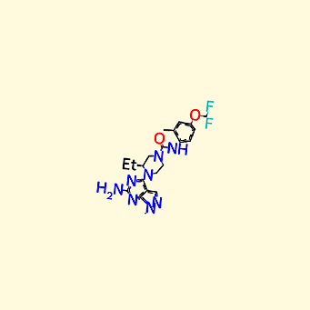 CC[C@H]1CN(C(=O)Nc2ccc(OC(F)F)cc2C)CCN1c1nc(N)nc2c1cnn2C